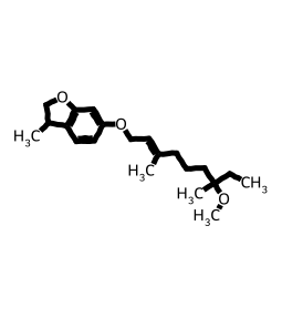 CCC(C)(CCC/C(C)=C/COc1ccc2c(c1)OCC2C)OC